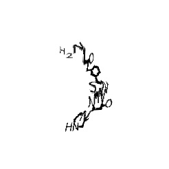 NCCC(=O)Cc1cccc(-c2nn3c(=O)cc(N4CCNCC4)nc3s2)c1